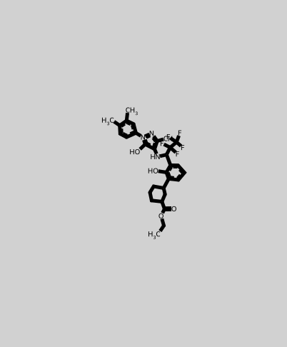 CCOC(=O)C1CCCC(c2cccc(C(Nc3c(C)nn(-c4ccc(C)c(C)c4)c3O)C(F)(F)C(F)(F)F)c2O)C1